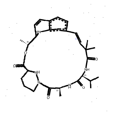 CC(C)[C@@H]1NC(=O)C(C)(C)/C=C/c2ccc3c(c2)NC(C=C3)[C@@H](C)OC(=O)C2CCCN(N2)C(=O)[C@H](C)NC1=O